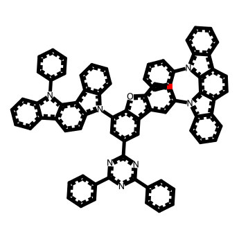 c1ccc(-c2nc(-c3ccccc3)nc(-c3cc(-n4c5ccccc5c5c4ccc4c6ccccc6n(-c6ccccc6)c45)c4oc5ccc(-n6c7ccccc7c7ccc8c9ccccc9n(-c9ccccc9)c8c76)cc5c4c3)n2)cc1